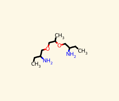 CCC(N)COCC(C)OCC(N)CC